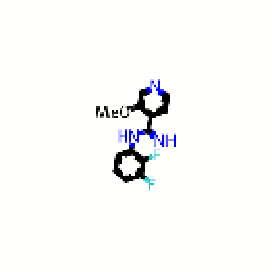 COc1cnccc1C(=N)Nc1cccc(F)c1F